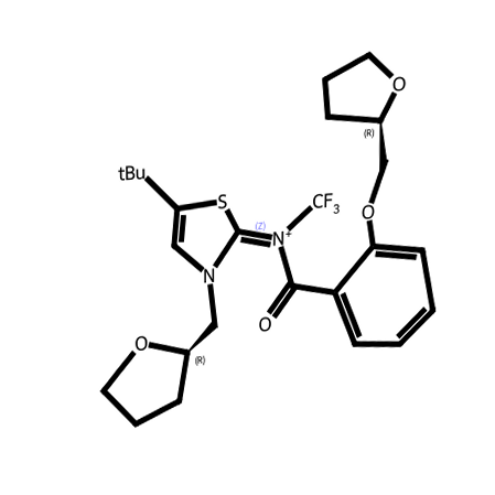 CC(C)(C)c1cn(C[C@H]2CCCO2)/c(=[N+](\C(=O)c2ccccc2OC[C@H]2CCCO2)C(F)(F)F)s1